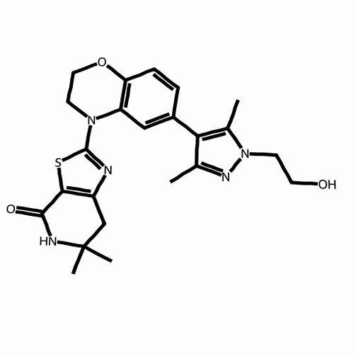 Cc1nn(CCO)c(C)c1-c1ccc2c(c1)N(c1nc3c(s1)C(=O)NC(C)(C)C3)CCO2